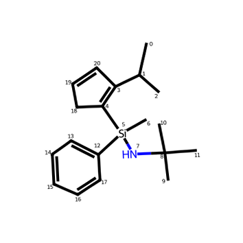 CC(C)C1=C([Si](C)(NC(C)(C)C)c2ccccc2)CC=C1